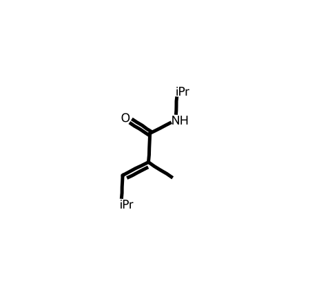 C/C(=C\C(C)C)C(=O)NC(C)C